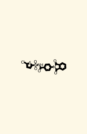 O=C(NS(=O)(=O)c1ccc(Cl)s1)c1ccc(N2C(=O)c3ccccc3C2=O)cc1